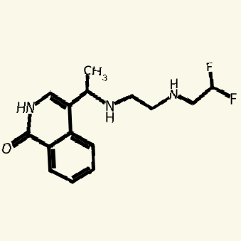 CC(NCCNCC(F)F)c1c[nH]c(=O)c2ccccc12